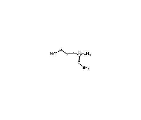 C[SiH](CCCC#N)O[SiH3]